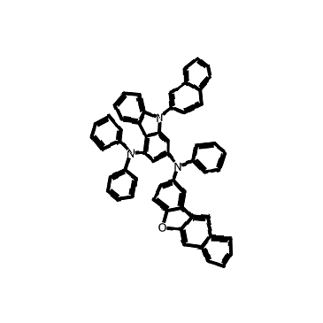 c1ccc(N(c2ccc3oc4cc5ccccc5cc4c3c2)c2cc(N(c3ccccc3)c3ccccc3)c3c4ccccc4n(-c4ccc5ccccc5c4)c3c2)cc1